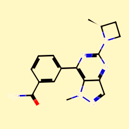 C[C@H]1CCN1c1nc(-c2cccc(C(N)=O)c2)c2c(cnn2C)n1